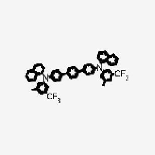 Cc1cc(N(c2ccc(-c3ccc(-c4ccc(N(c5cc(C)cc(C(F)(F)F)c5)c5cccc6ccccc56)cc4)cc3)cc2)c2cccc3ccccc23)cc(C(F)(F)F)c1